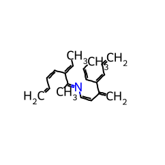 C=C\C=C/C(=C\C)C(/C)=N/C=C\C(=C)C(/C=C\C)=C/C=C